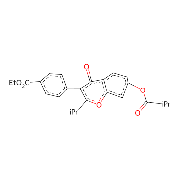 CCOC(=O)c1ccc(-c2c(C(C)C)oc3cc(OC(=O)C(C)C)ccc3c2=O)cc1